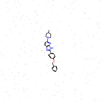 CC1CCN(c2ccc3nc(-c4ccc(OCc5ccccc5)cc4)[nH]c3n2)CC1